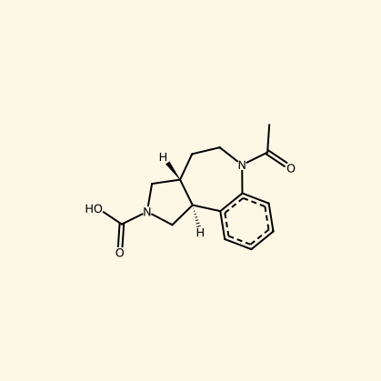 CC(=O)N1CC[C@H]2CN(C(=O)O)C[C@@H]2c2ccccc21